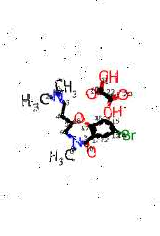 CN(C)CCC1CN(C)C(=O)c2cc(Br)ccc2O1.O=C(O)C(=O)O